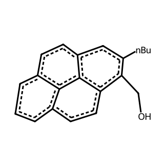 CCCCc1cc2ccc3cccc4ccc(c1CO)c2c34